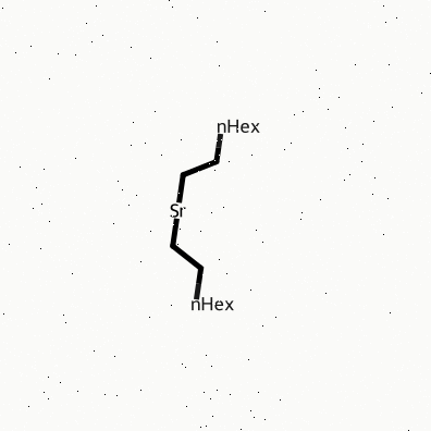 CCCCCCC[CH2][Sr][CH2]CCCCCCC